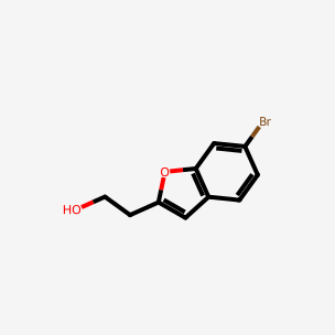 OCCc1cc2ccc(Br)cc2o1